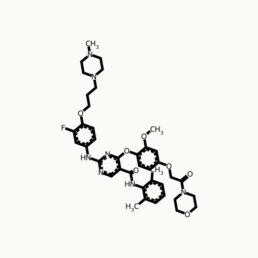 COc1cc(OCC(=O)N2CCOCC2)ccc1Oc1nc(Nc2ccc(OCCCN3CCN(C)CC3)c(F)c2)ncc1C(=O)Nc1c(C)cccc1C